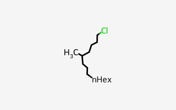 CCCCCCCCCC(C)CCCCCl